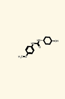 COc1ccc(NC(=O)N[C@H]2CC[C@H](O)CC2)cc1